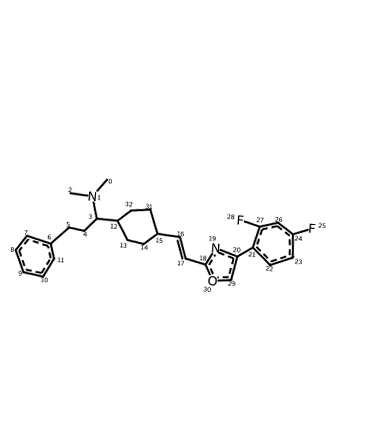 CN(C)C(CCc1ccccc1)C1CCC(C=Cc2nc(-c3ccc(F)cc3F)co2)CC1